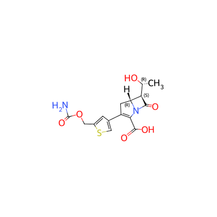 C[C@@H](O)[C@H]1C(=O)N2C(C(=O)O)=C(c3csc(COC(N)=O)c3)C[C@H]12